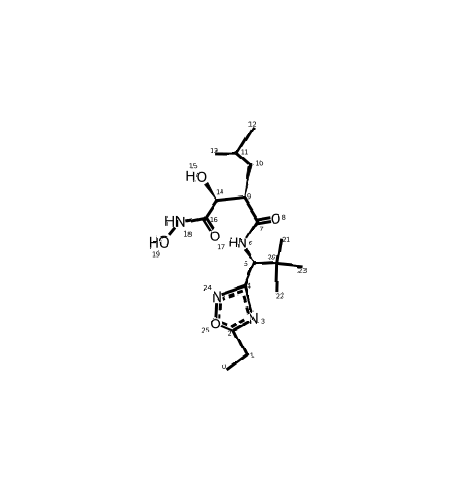 CCc1nc([C@@H](NC(=O)[C@H](CC(C)C)[C@H](O)C(=O)NO)C(C)(C)C)no1